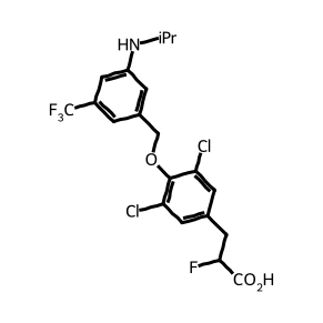 CC(C)Nc1cc(COc2c(Cl)cc(CC(F)C(=O)O)cc2Cl)cc(C(F)(F)F)c1